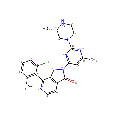 COc1cccc(F)c1-c1nccc2c1CN(c1cc(C)nc(N3CCN[C@@H](C)C3)n1)C2=O